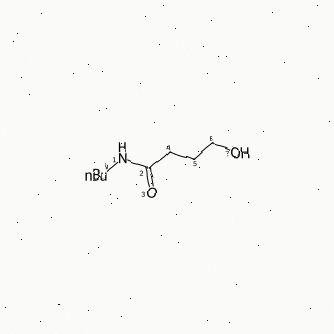 [CH2]CCCNC(=O)CCCO